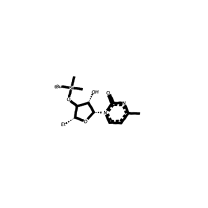 CC[C@H]1O[C@@H](n2ccc(C)nc2=O)[C@@H](O)C1O[Si](C)(C)C(C)(C)C